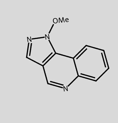 COn1ncc2cnc3ccccc3c21